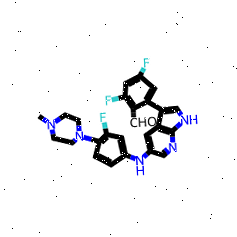 CN1CCN(c2ccc(Nc3cnc4[nH]cc(-c5cc(F)cc(F)c5C=O)c4c3)cc2F)CC1